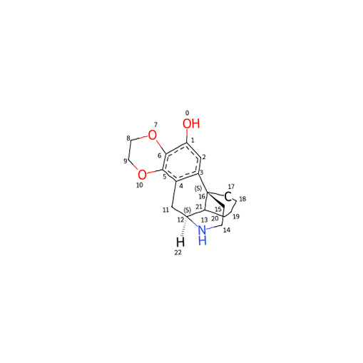 Oc1cc2c(c3c1OCCO3)C[C@@H]1NCC[C@]23CCCCC13